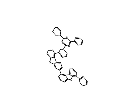 C1=CCCC(c2cccc3c2sc2cccc(-c4ccc5c(c4)oc4cccc(-c6cccc(-c7nc(-c8ccccc8)nc(C8C=CCCC8)n7)c6)c45)c23)=C1